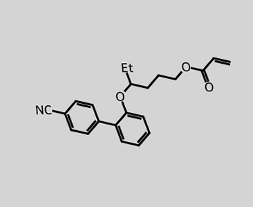 C=CC(=O)OCCCC(CC)Oc1ccccc1-c1ccc(C#N)cc1